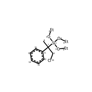 CCO[Si](OCC)(OCC)C(C)(CCl)c1ccccc1